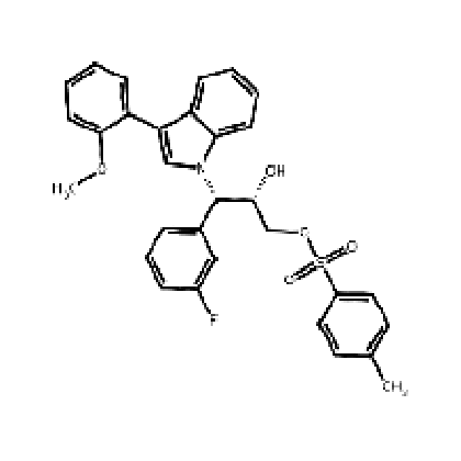 COc1ccccc1-c1cn([C@@H](c2cccc(F)c2)[C@H](O)COS(=O)(=O)c2ccc(C)cc2)c2ccccc12